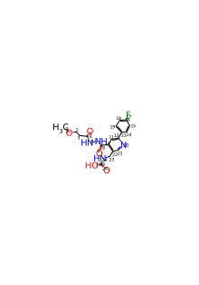 COCCC(=O)NNC(=O)c1cc(-c2ccc(F)cc2)ncc1CNC(=O)O